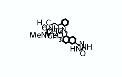 CN[C@@H](C)C(=O)NC(C)CCc1ccccc1N(C=O)Cc1c(OC)ccc2cc(-c3n[nH]c(=O)[nH]3)ccc12